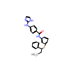 O=C(O)CC(Sc1cccc(NC(=O)c2ccc(Nc3ncc[nH]3)cc2)c1)c1ccccc1